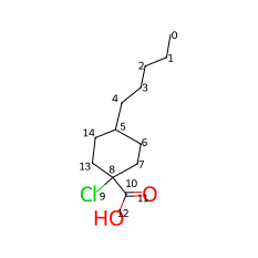 CCCCCC1CCC(Cl)(C(=O)O)CC1